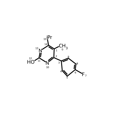 Cc1c(-c2ccc(F)cc2)nc(O)nc1C(C)C